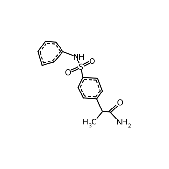 CC(C(N)=O)c1ccc(S(=O)(=O)Nc2ccccc2)cc1